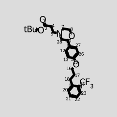 CC(C)(C)OC(=O)CCN1CCOC(c2ccc(OCCCc3ccccc3C(F)(F)F)cc2)C1